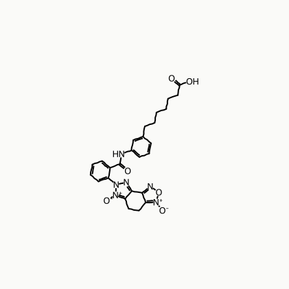 O=C(O)CCCCCCc1cccc(NC(=O)c2ccccc2-n2nc3c([n+]2[O-])CCc2c-3no[n+]2[O-])c1